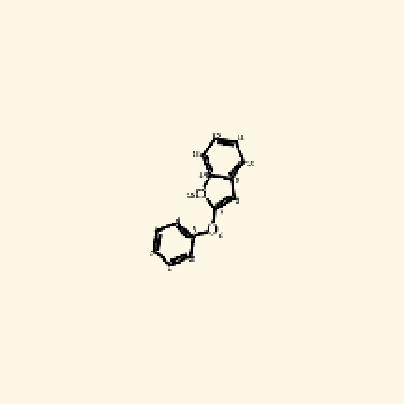 [c]1ccccc1Oc1cc2ccccc2o1